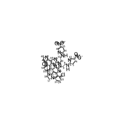 O=[N+]([O-])c1ccc(NCCN(c2ncc(-c3ncc[nH]3)c(-c3ccccc3Cl)n2)N(CCNc2ccc([N+](=O)[O-])cn2)c2ncc(-c3ncc[nH]3)c(-c3ccccc3Cl)n2)nc1